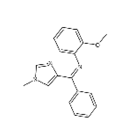 COc1ccccc1N=C(c1ccccc1)c1cn(C)cn1